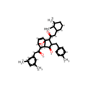 Cc1ccc(CC2C(=O)C3C(C(=O)Cc4cc(C)cc(C)c4)C4C=CC3(O4)C2C(=O)CC2CCCC(C)C2C)cc1